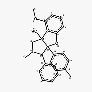 COc1cncc2c1C1(O)CC(C)C(c3ccccc3)C1(c1ccc(C)cc1)O2